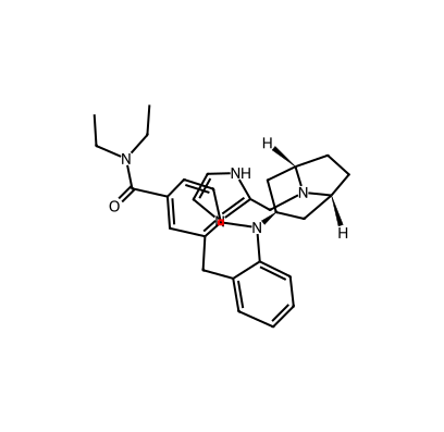 CCN(CC)C(=O)c1ccc2c(c1)Cc1ccccc1N2[C@@H]1C[C@H]2CC[C@@H](C1)N2Cc1ncc[nH]1